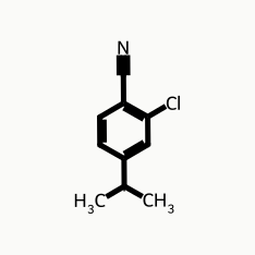 C[C](C)c1ccc(C#N)c(Cl)c1